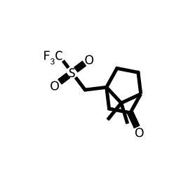 CC1(C)C2CCC1(CS(=O)(=O)C(F)(F)F)CC2=O